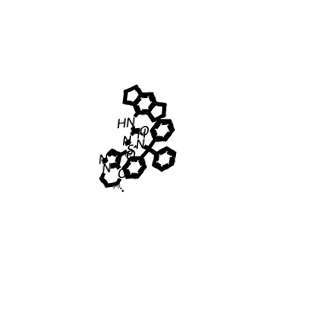 C[C@@H]1CCn2ncc([S@@](=O)(=NC(=O)Nc3c4c(cc5c3CCC5)CCC4)NC(c3ccccc3)(c3ccccc3)c3ccccc3)c2O1